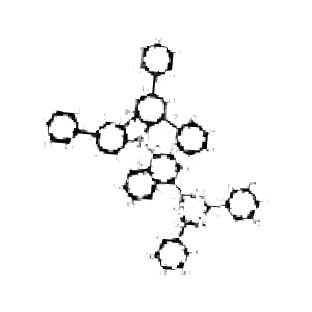 c1ccc(-c2ccc3c(c2)c2cc(-c4ccccc4)cc(-c4ccccc4)c2n3-c2ccc(-c3nc(-c4ccccc4)nc(-c4ccccc4)n3)c3ccccc23)cc1